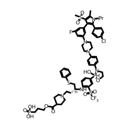 Cc1c(S(C)(=O)=O)c(-c2cc(F)cc(N3CCN(c4ccc(N5CCO[PH]5(O)c5ccc(N[C@H](CCN6CCC(C(=O)OCCCP(=O)(O)O)CC6)CSc6ccccc6)c(S(=O)(=O)C(F)(F)F)c5)cc4)CC3)c2)c(-c2ccc(Cl)cc2)n1C(C)C